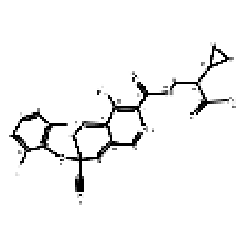 N#CC1(Oc2c(F)cccc2F)C=c2cnc(C(=O)NCC(C(=O)O)C3CC3)c(O)c2=CC1